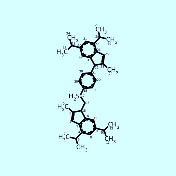 CC1=Cc2c(C(C)C)cc(C(C)C)cc2C1C[SiH2]c1ccc(C2C(C)=Cc3c(C(C)C)cc(C(C)C)cc32)cc1